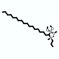 CCCCCCCCCCCCCCCCCC([N+](C)(C)CCC)[Si](OC)(OC)OC